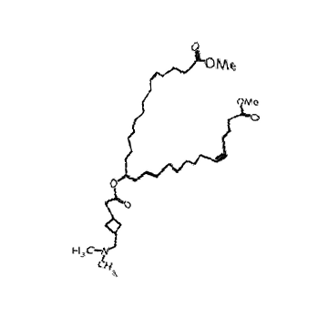 COC(=O)CCC/C=C\CCCCCCCCC(CCCCCCCC/C=C\CCCC(=O)OC)OC(=O)CC1CC(CN(C)C)C1